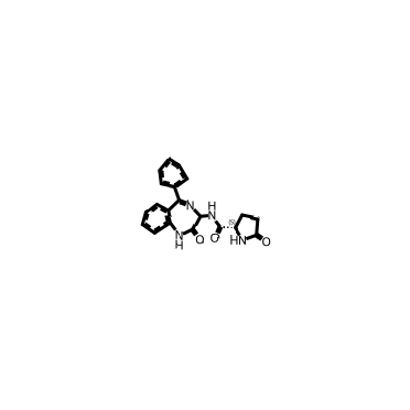 O=C1CC[C@@H](C(=O)NC2N=C(c3ccccc3)c3ccccc3NC2=O)N1